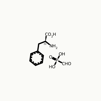 N[C@@H](Cc1ccccc1)C(=O)O.O=CP(=O)(O)O